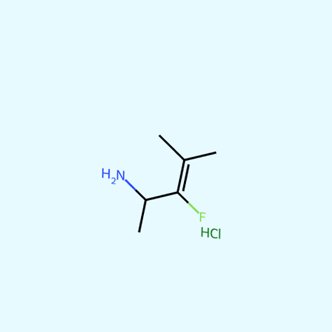 CC(C)=C(F)C(C)N.Cl